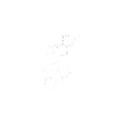 CC(C)(C)[Si](OCC(CO)Cc1cc(Cl)ccc1[N+](=O)[O-])(c1ccccc1)c1ccccc1